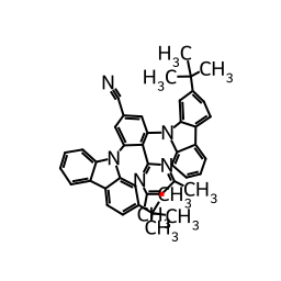 Cc1cc(C)nc(-c2c(-n3c4ccccc4c4ccc(C(C)(C)C)cc43)cc(C#N)cc2-n2c3ccccc3c3ccc(C(C)(C)C)cc32)n1